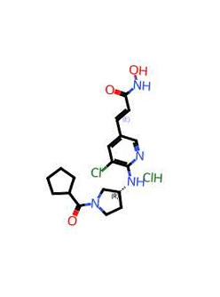 Cl.O=C(/C=C/c1cnc(N[C@@H]2CCN(C(=O)C3CCCC3)C2)c(Cl)c1)NO